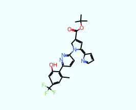 Cc1cc(C(F)(F)F)cc(O)c1-c1ccc(N2CC(C(=O)OC(C)(C)C)=CC2=C2C=CC=N2)nn1